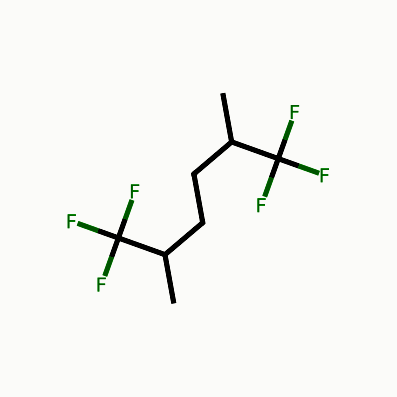 CC(CCC(C)C(F)(F)F)C(F)(F)F